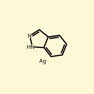 [Ag].c1ccc2[nH]ncc2c1